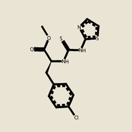 COC(=O)[C@H](Cc1ccc(Cl)cc1)NC(=S)Nc1nccs1